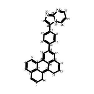 C1=Cc2cccc3c2c(c2c4c(cc(-c5ccc(-c6cnc7ncccn67)cc5)cc43)C=CC2)C1